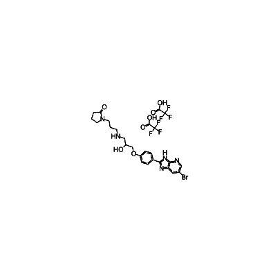 O=C(O)C(F)(F)F.O=C(O)C(F)(F)F.O=C1CCCN1CCCNCC(O)COc1ccc(-c2nc3cc(Br)cnc3[nH]2)cc1